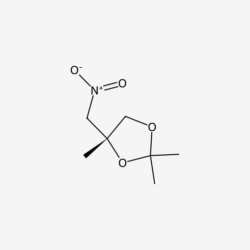 CC1(C)OC[C@@](C)(C[N+](=O)[O-])O1